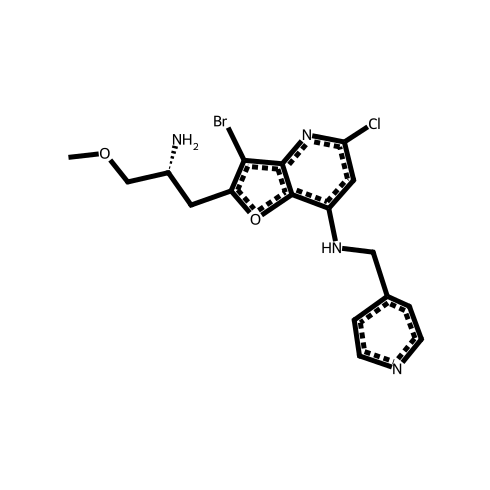 COC[C@H](N)Cc1oc2c(NCc3ccncc3)cc(Cl)nc2c1Br